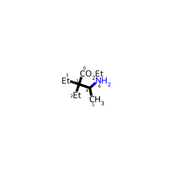 CCOC(=O)C(CC)(CC)C(C)N